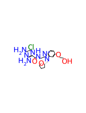 C[n+]1c(CNC(=O)c2nc(Cl)c(N)nc2N)n(C[C@@H]2CCCO2)c2cc(OCCO)ccc21